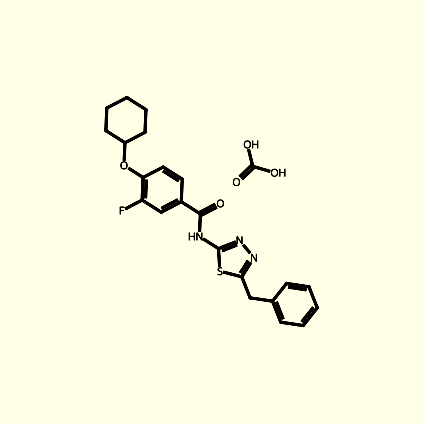 O=C(Nc1nnc(Cc2ccccc2)s1)c1ccc(OC2CCCCC2)c(F)c1.O=C(O)O